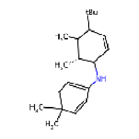 CC1C(C(C)(C)C)C=CC(NC2=CCC(C)(C)C=C2)[C@@H]1C